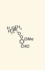 COc1cc(C=O)ccc1OCOCC[Si](C)(C)C